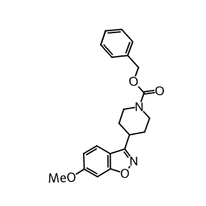 COc1ccc2c(C3CCN(C(=O)OCc4ccccc4)CC3)noc2c1